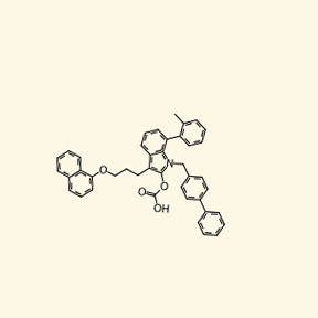 Cc1ccccc1-c1cccc2c(CCCOc3cccc4ccccc34)c(OC(=O)O)n(Cc3ccc(-c4ccccc4)cc3)c12